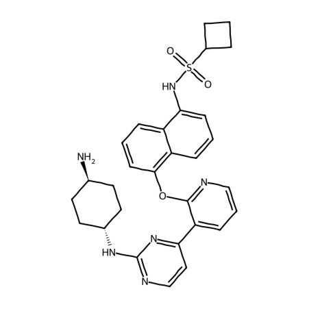 N[C@H]1CC[C@H](Nc2nccc(-c3cccnc3Oc3cccc4c(NS(=O)(=O)C5CCC5)cccc34)n2)CC1